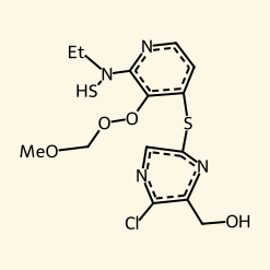 CCN(S)c1nccc(Sc2cnc(Cl)c(CO)n2)c1OOCOC